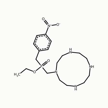 CCOP(=O)(Cc1ccc([N+](=O)[O-])cc1)CN1CCNCCNCCNCC1